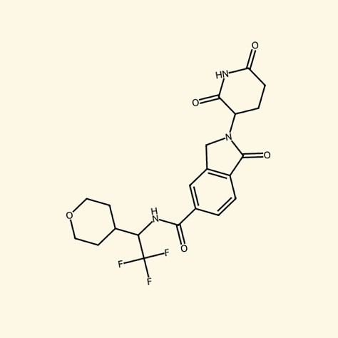 O=C1CCC(N2Cc3cc(C(=O)NC(C4CCOCC4)C(F)(F)F)ccc3C2=O)C(=O)N1